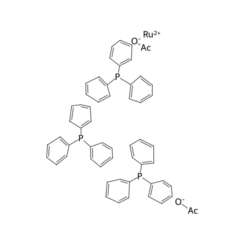 CC(=O)[O-].CC(=O)[O-].[Ru+2].c1ccc(P(c2ccccc2)c2ccccc2)cc1.c1ccc(P(c2ccccc2)c2ccccc2)cc1.c1ccc(P(c2ccccc2)c2ccccc2)cc1